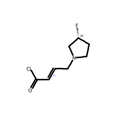 O=C(Cl)/C=C/CN1CC[C@@H](F)C1